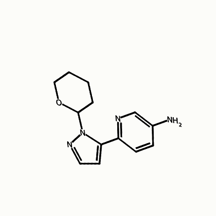 Nc1ccc(-c2ccnn2C2CCCCO2)nc1